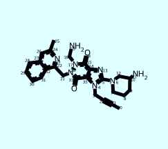 CC#CCn1c(N2CCCC(N)C2)nc2c(=O)n(CN)n(Cc3nc(C)cc4ccccc34)c(=O)c21